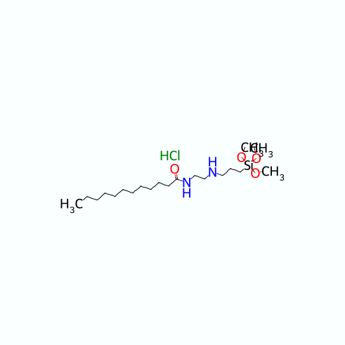 CCCCCCCCCCCC(=O)NCCNCCC[Si](OC)(OC)OC.Cl